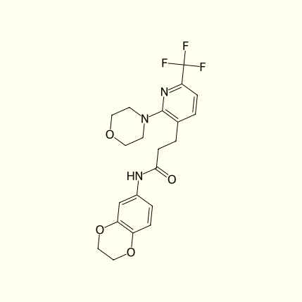 O=C(CCc1ccc(C(F)(F)F)nc1N1CCOCC1)Nc1ccc2c(c1)OCCO2